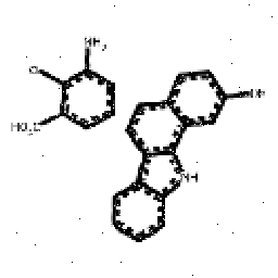 Nc1cccc(C(=O)O)c1Cl.Oc1ccc2ccc3c4ccccc4[nH]c3c2c1